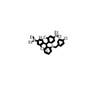 CCN(CC)c1ccc(C(c2ccc(N(CC)CC)cc2C)c2ccccc2SCc2ccc(Cl)cc2)c(C)c1